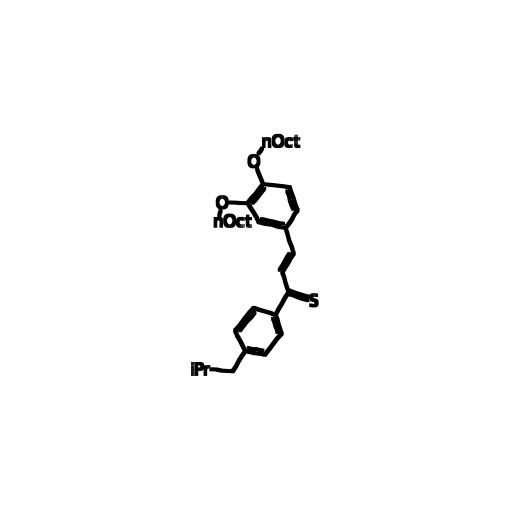 CCCCCCCCOc1ccc(C=CC(=S)c2ccc(CC(C)C)cc2)cc1OCCCCCCCC